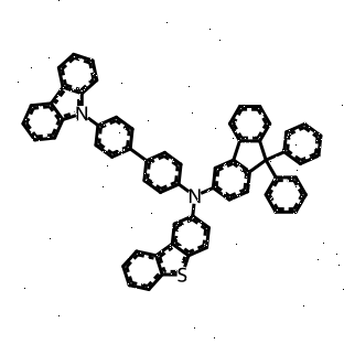 c1ccc(C2(c3ccccc3)c3ccccc3-c3cc(N(c4ccc(-c5ccc(-n6c7ccccc7c7ccccc76)cc5)cc4)c4ccc5sc6ccccc6c5c4)ccc32)cc1